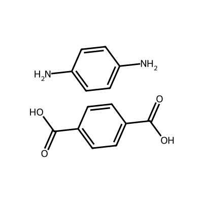 Nc1ccc(N)cc1.O=C(O)c1ccc(C(=O)O)cc1